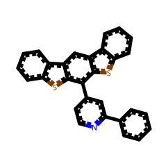 c1ccc(-c2cc(-c3c4sc5ccccc5c4cc4c3sc3ccccc34)ccn2)cc1